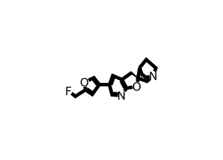 FCc1cc(-c2cnc3c(c2)C[C@@]2(CN4CCC2CC4)O3)co1